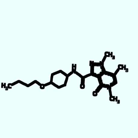 CCCCOC1CCC(NC(=O)c2nn(C)c3c(C)cn(C)c(=O)c23)CC1